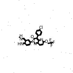 CN/C=C1/C=C(n2nc3ccc(OCC(F)(F)F)nc3c(-c3ccc(Cl)cc3)c2=O)C=CC1=N